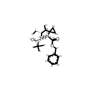 CC[C@@H](N[S@+]([O-])C(C)(C)C)C(C)C1(NC(=O)OCc2ccccc2)CC1